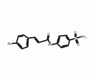 CC(C)(C)c1ccc(/C=C/C(=O)Nc2ccc(S(N)(=O)=O)cc2)cc1